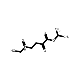 CC(C)OC(=O)C(=O)CC[PH](=O)CO